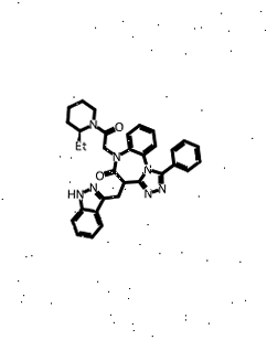 CC[C@H]1CCCCN1C(=O)CN1C(=O)C(Cc2n[nH]c3ccccc23)c2nnc(-c3ccccc3)n2-c2ccccc21